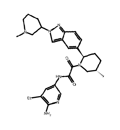 CCc1cc(NC(=O)C(=O)N2C[C@@H](C)CC[C@@H]2c2ccc3nn(C4CCCN(C)C4)cc3c2)cnc1N